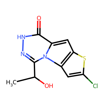 CC(O)c1n[nH]c(=O)c2cc3sc(Cl)cc3n12